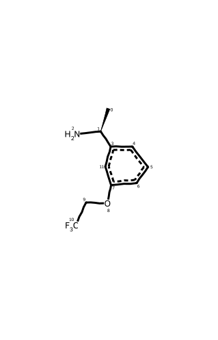 C[C@H](N)c1cccc(OCC(F)(F)F)c1